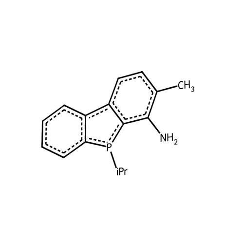 Cc1ccc2c3ccccc3p(C(C)C)c2c1N